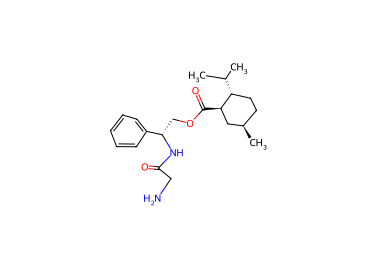 CC(C)[C@@H]1CC[C@@H](C)C[C@H]1C(=O)OC[C@H](NC(=O)CN)c1ccccc1